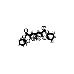 O=C1OC2(CCCCC2)OC(=O)C1=CC(Cl)=CC1=C(O)OC2(CCCCC2)OC1=O